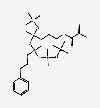 C=C(C)C(=O)OCCC[Si](C)(O[Si](C)(C)C)O[Si](C)(CCCc1ccccc1)O[Si](C)(C)O[Si](C)(C)C